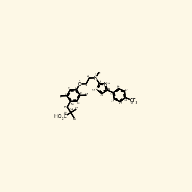 Cc1cc(OCCN(C)c2nc(-c3ccc(C(F)(F)F)cc3)cs2)c(C)cc1CC(C)(C)C(=O)O